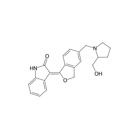 O=C1Nc2ccccc2C1=C1OCc2cc(CN3CCCC3CO)ccc21